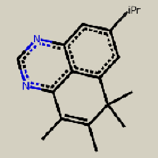 CC1=C(C)C(C)(C)c2cc(C(C)C)cc3ncnc1c23